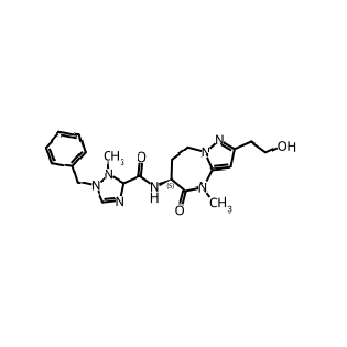 CN1C(=O)[C@@H](NC(=O)C2N=CN(Cc3ccccc3)N2C)CCn2nc(CCO)cc21